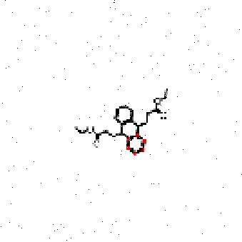 CCOC(=O)CCC12C3=C(CCC=C3)C(CCC(=O)OCC)(c3ccccc31)c1ccccc12